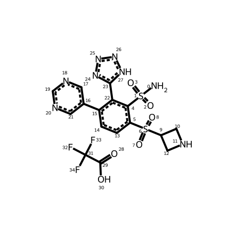 NS(=O)(=O)c1c(S(=O)(=O)C2CNC2)ccc(-c2cncnc2)c1-c1nnn[nH]1.O=C(O)C(F)(F)F